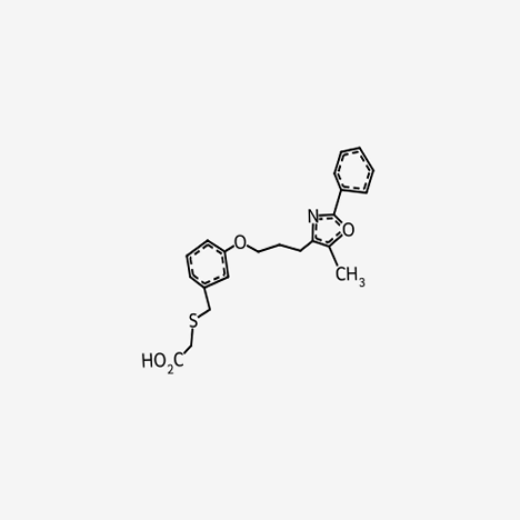 Cc1oc(-c2ccccc2)nc1CCCOc1cccc(CSCC(=O)O)c1